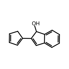 OC1C(C2=CC=CC2)=Cc2ccccc21